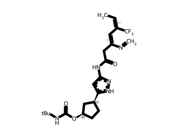 C=N/C(=C\C(=C/C)C(F)(F)F)CC(=O)Nc1cc([C@H]2CC[C@@H](OC(=O)NC(C)(C)C)C2)[nH]n1